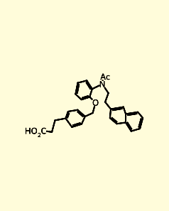 CC(=O)N(CCc1ccc2ccccc2c1)c1ccccc1OCc1ccc(CCC(=O)O)cc1